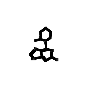 CC1COCCN1c1nc(Cl)cc2[nH]cnc12